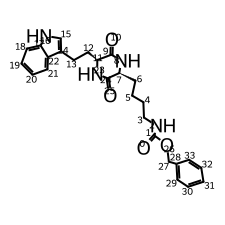 O=C(NCCCC[C@@H]1NC(=O)[C@H](CCc2c[nH]c3ccccc23)NC1=O)OCc1ccccc1